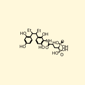 CCC(c1ccc(O)cc1O)C(CC)c1ccc(O)c(NC(=O)CCC(P(=O)(O)O)P(=O)(O)O)c1O